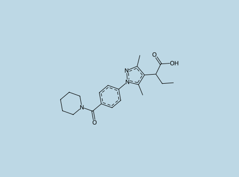 CCC(C(=O)O)c1c(C)nn(-c2ccc(C(=O)N3CCCCC3)cc2)c1C